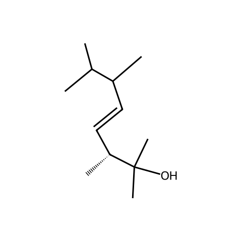 CC(C)C(C)/C=C/[C@@H](C)C(C)(C)O